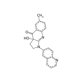 Cc1ccc2c(c1)C(=O)C1(O)CCN(c3ccc4ncccc4c3)C1=N2